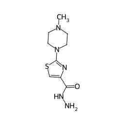 CN1CCN(c2nc(C(=O)NN)cs2)CC1